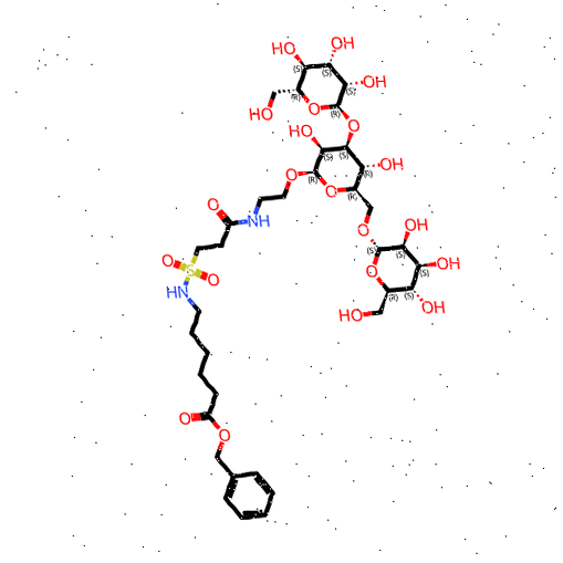 O=C(CCS(=O)(=O)NCCCCCC(=O)OCc1ccccc1)NCCO[C@@H]1O[C@H](CO[C@H]2O[C@H](CO)[C@@H](O)[C@H](O)[C@@H]2O)[C@@H](O)[C@H](O[C@H]2O[C@H](CO)[C@@H](O)[C@H](O)[C@@H]2O)[C@@H]1O